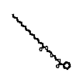 CCCCCCCCCCCCCCCC(=O)OCCOCCOC(=O)c1ccccc1